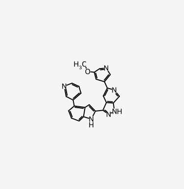 COc1cncc(-c2cc3c(-c4cc5c(-c6cccnc6)cccc5[nH]4)n[nH]c3cn2)c1